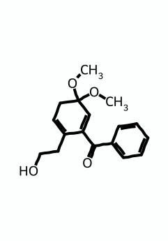 COC1(OC)C=C(C(=O)c2ccccc2)C(CCO)=CC1